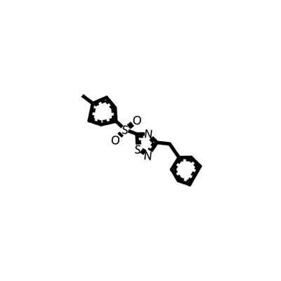 Cc1ccc(S(=O)(=O)c2nc(Cc3ccccc3)ns2)cc1